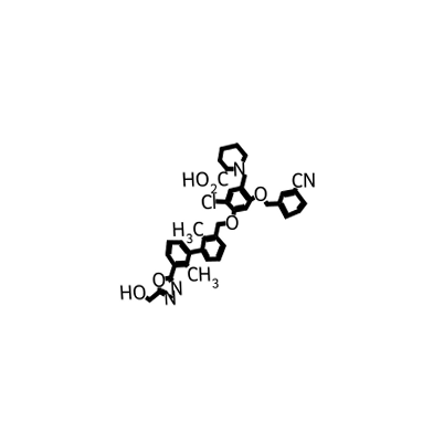 Cc1c(COc2cc(OCc3cccc(C#N)c3)c(CN3CCCC[C@H]3C(=O)O)cc2Cl)cccc1-c1cccc(-c2nnc(CO)o2)c1C